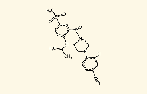 CC(C)Oc1ccc(S(C)(=O)=O)cc1C(=O)N1CCN(c2ccc(C#N)cc2Cl)CC1